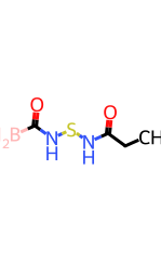 BC(=O)NSNC(=O)CC